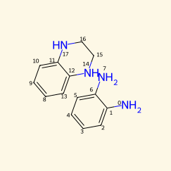 Nc1ccccc1N.c1ccc2c(c1)NCCN2